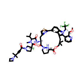 CO[C@@H](C)c1ncccc1-c1c2c3cc(ccc3n1CC(F)(F)F)-c1nc(cs1)C[C@H](NC(=O)C(C(C)C)N(C)C(=O)[C@@]1(F)CCN(C(=O)C#CC(C)(C)N3CCC3)C1)C(=O)N1CCC[C@H](N1)C(=O)OCC(C)(C)C2